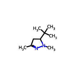 CC1=NN(C)C(C(C)(C)C)C1